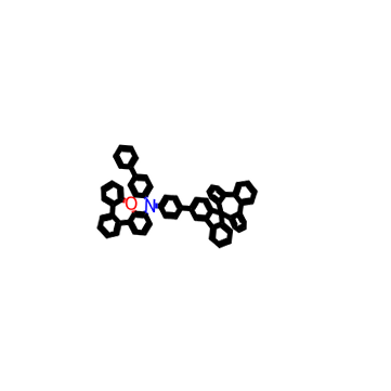 c1ccc(-c2ccc(N(c3ccc(-c4ccc5c(c4)-c4ccccc4C54c5ccccc5-c5ccccc5-c5ccccc54)cc3)c3cccc4c3Oc3ccccc3-c3ccccc3-4)cc2)cc1